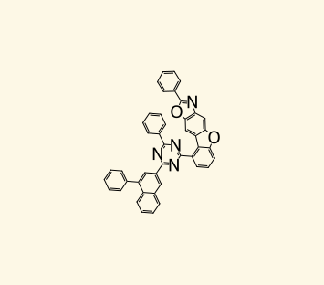 c1ccc(-c2nc(-c3cc(-c4ccccc4)c4ccccc4c3)nc(-c3cccc4oc5cc6nc(-c7ccccc7)oc6cc5c34)n2)cc1